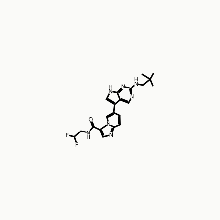 CC(C)(C)CNc1ncc2c(-c3ccc4ncc(C(=O)NCC(F)F)n4c3)c[nH]c2n1